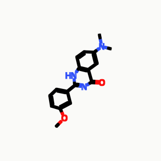 COc1cccc(-c2nc(=O)c3cc(N(C)C)ccc3[nH]2)c1